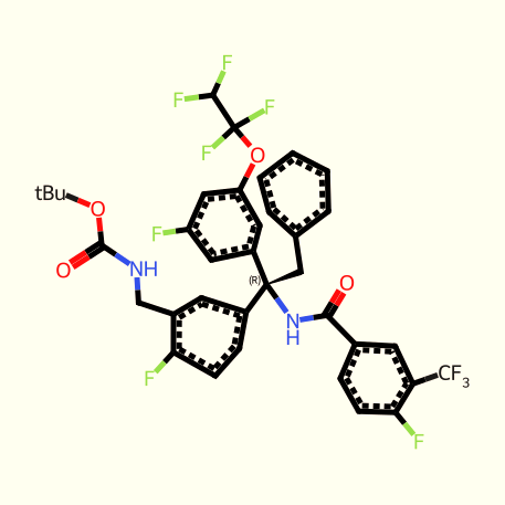 CC(C)(C)OC(=O)NCc1cc([C@@](Cc2ccccc2)(NC(=O)c2ccc(F)c(C(F)(F)F)c2)c2cc(F)cc(OC(F)(F)C(F)F)c2)ccc1F